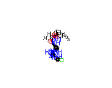 C[C@H](NC(=O)OC(C)(C)C)C(=O)NCc1cccc(Nc2n[nH]c3ncnc(Nc4cccc(Cl)c4)c23)c1